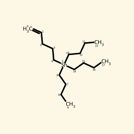 C=CCC[CH2][Sn]([CH2]CCC)([CH2]CCC)[CH2]CCC